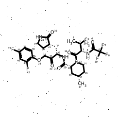 CC(C)[C@H](NC(=O)C(F)(F)F)C(=O)N1CC[C@H](C)C[C@@H]1C(=O)N[C@@H](C[C@@H]1CCNC1=O)C(=O)COc1ccc(F)cc1F